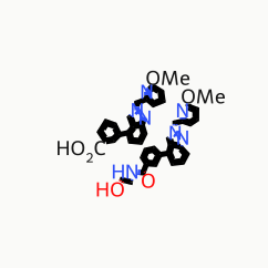 COc1cccc(Cn2cc3c(-c4cccc(C(=O)NCCO)c4)cccc3n2)n1.COc1cccc(Cn2cc3c(-c4cccc(C(=O)O)c4)cccc3n2)n1